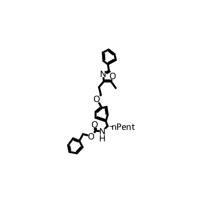 CCCCC[C@H](NC(=O)OCc1ccccc1)c1ccc(OCCc2nc(-c3ccccc3)oc2C)cc1